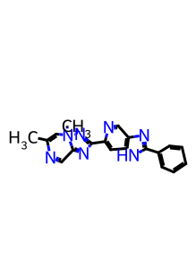 CC1=C[N+]2(C)N=C(c3cc4[nH]c(-c5ccccc5)nc4cn3)N=C2C=N1